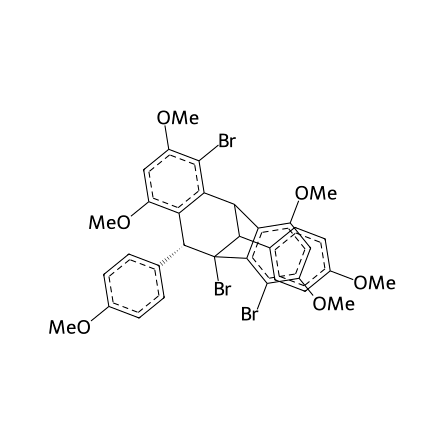 COc1ccc(C2C3c4c(Br)c(OC)cc(OC)c4[C@@H](c4ccc(OC)cc4)C2(Br)c2c(Br)c(OC)cc(OC)c23)cc1